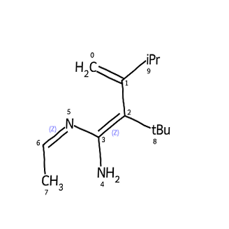 C=C(/C(=C(N)\N=C/C)C(C)(C)C)C(C)C